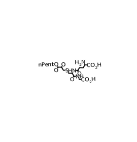 CCCCCOC(=O)C(=O)CSCC(NC(=O)CCC(N)C(=O)O)C(=O)NCC(=O)O